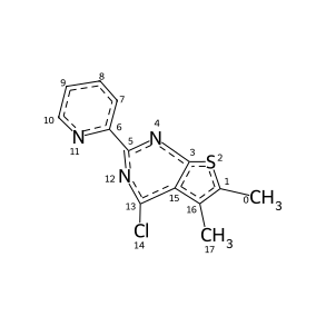 Cc1sc2nc(-c3ccccn3)nc(Cl)c2c1C